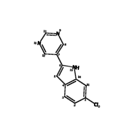 Clc1ccc2cc(-c3cncnc3)[nH]c2c1